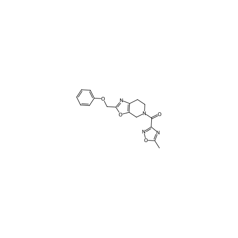 Cc1nc(C(=O)N2CCc3nc(COc4ccccc4)oc3C2)no1